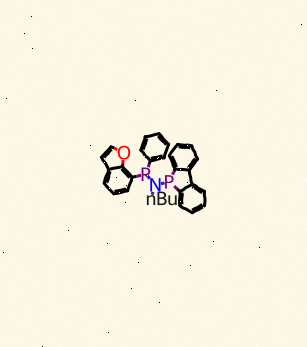 CCCCN(P(c1ccccc1)c1cccc2ccoc12)p1c2ccccc2c2ccccc21